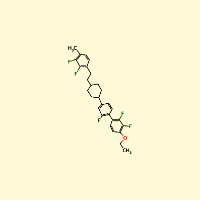 CCOc1ccc(-c2ccc(C3CCC(CCc4ccc(C)c(F)c4F)CC3)cc2F)c(F)c1F